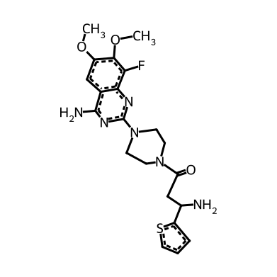 COc1cc2c(N)nc(N3CCN(C(=O)CC(N)c4cccs4)CC3)nc2c(F)c1OC